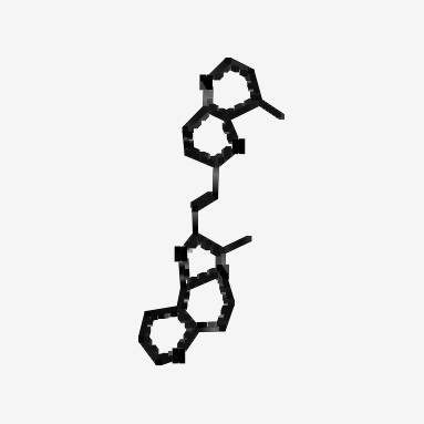 Cc1ccnc2ccc(C=Cc3nc4c5cccnc5ccn4c3C)nc12